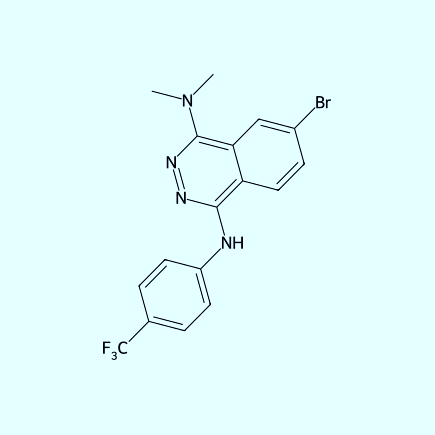 CN(C)c1nnc(Nc2ccc(C(F)(F)F)cc2)c2ccc(Br)cc12